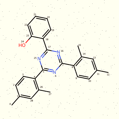 Cc1ccc(-c2nc(-c3ccc(C)cc3C)nc(-c3ccccc3O)n2)c(C)c1